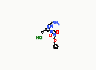 Cl.NCc1cn2cc(C3CC3)cc(N3CC(=O)N(CCOCc4ccccc4)C3=O)c2n1